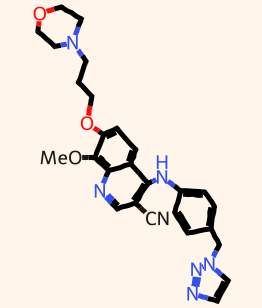 COc1c(OCCCN2CCOCC2)ccc2c(Nc3ccc(Cn4ccnn4)cc3)c(C#N)cnc12